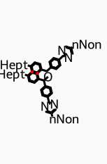 CCCCCCCCCc1cnc(-c2ccc(C(OC(c3ccc(CCCCCCC)cc3)c3ccc(-c4ncc(CCCCCCCCC)cn4)cc3)c3ccc(CCCCCCC)cc3)cc2)nc1